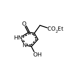 CCOC(=O)Cc1cc(O)n[nH]c1=O